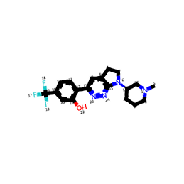 CN1CCC[C@@H](N2CCc3cc(-c4ccc(C(F)(F)F)cc4O)nnc32)C1